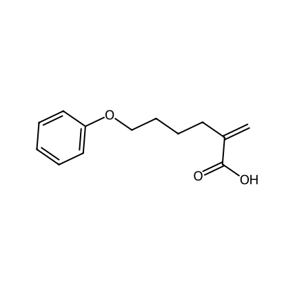 C=C(CCCCOc1ccccc1)C(=O)O